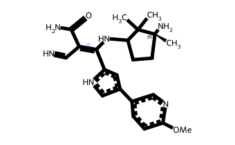 COc1ccc(-c2c[nH]c(/C(NC3CC[C@@](C)(N)C3(C)C)=C(\C=N)C(N)=O)c2)cn1